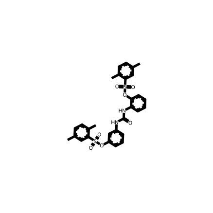 Cc1ccc(C)c(S(=O)(=O)Oc2cccc(NC(=O)Nc3ccccc3OS(=O)(=O)c3cc(C)ccc3C)c2)c1